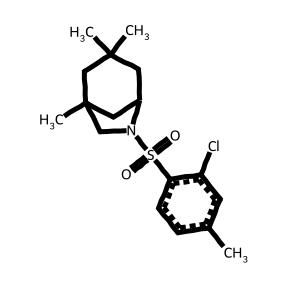 Cc1ccc(S(=O)(=O)N2CC3(C)CC2CC(C)(C)C3)c(Cl)c1